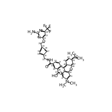 CN(C)c1ccc2c(-c3ccc(C(=O)NCc4ccc(COc5cc(C(F)(F)F)nc(N)n5)cc4)cc3C(=O)O)c3ccc(=[N+](C)C)cc-3oc2c1